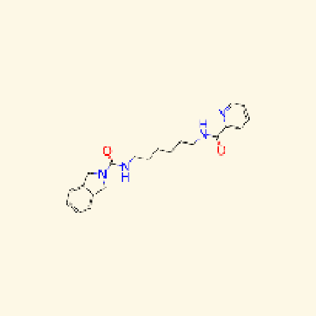 O=C(NCCCCCCNC(=O)N1Cc2ccccc2C1)c1ccccn1